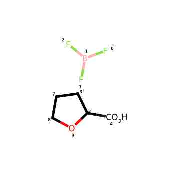 FB(F)F.O=C(O)C1CCCO1